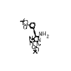 CN(C(=O)OC(C)(C)C)c1nc(N)c(C#Cc2cccc(C(=O)OC(C)(C)C)c2)c2c1ncn2C